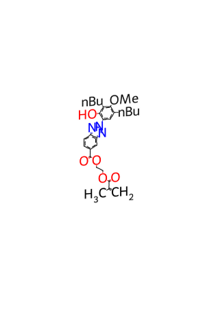 C=C(C)C(=O)OCCOC(=O)c1ccc2nn(-c3cc(CCCC)c(OC)c(CCCC)c3O)nc2c1